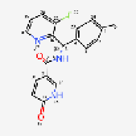 Cc1ccc([C@H](NC(=O)c2ccc(=O)[nH]c2)c2ncccc2F)cc1